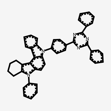 c1ccc(-c2nc(-c3ccccc3)nc(-c3ccc(-n4c5ccccc5c5c6c7c(n(-c8ccccc8)c6ccc54)CCCC7)cc3)n2)cc1